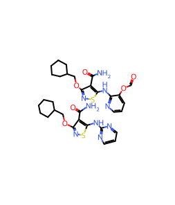 NC(=O)c1c(OCC2CCCCC2)nsc1Nc1ncccc1OC=O.NC(=O)c1c(OCC2CCCCC2)nsc1Nc1ncccn1